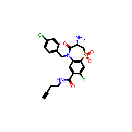 C#CCCNC(=O)c1cc2c(cc1F)S(=O)(=O)C[C@H](N)C(=O)N2Cc1ccc(Cl)cc1